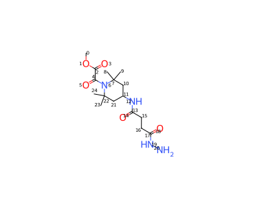 COC(=O)C(=O)N1C(C)(C)CC(NC(=O)CCC(=O)NN)CC1(C)C